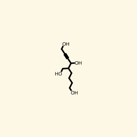 OCC#CC(O)C(CO)CCCCO